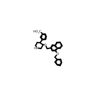 O=C(O)c1cccc(C2CCNCC2OCc2cc(OCc3ccccc3)c3ccccc3c2)c1